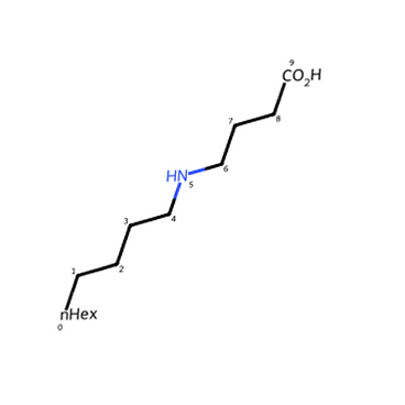 CCCCCCCCCCNCCCC(=O)O